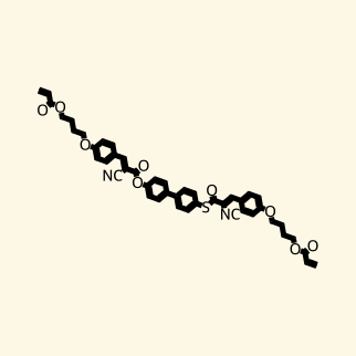 [C-]#[N+]/C(=C\c1ccc(OCCCCOC(=O)C=C)cc1)C(=O)Sc1ccc(-c2ccc(OC(=O)/C(C#N)=C/c3ccc(OCCCCOC(=O)C=C)cc3)cc2)cc1